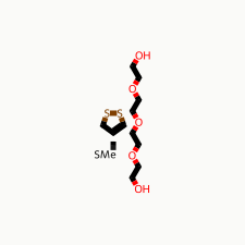 C1=CSSC1.CSC.OCCOCCOCCOCCO